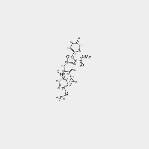 CNC(=O)c1c(-c2ccc(C)cc2)oc2cc(N(C)c3ccc(OP)cc3)c(C3CC3)cc12